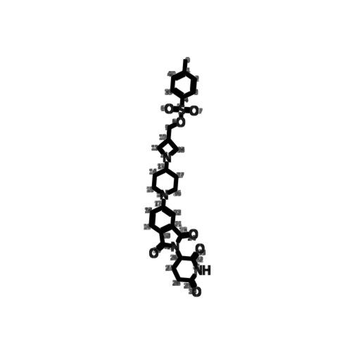 Cc1ccc(S(=O)(=O)OCC2CN(C3CCN(c4ccc5c(c4)C(=O)N(C4CCC(=O)NC4=O)C5=O)CC3)C2)cc1